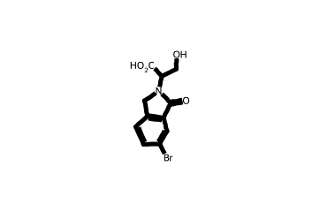 O=C(O)C(CO)N1Cc2ccc(Br)cc2C1=O